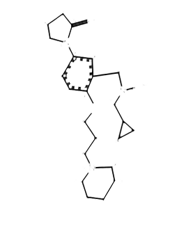 CCCN(Cc1cc(N2CCCC2=O)ccc1OCCCN1CCCCC1)CC1CC1